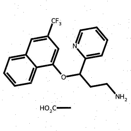 CC(=O)O.NCCC(Oc1cc(C(F)(F)F)cc2ccccc12)c1ccccn1